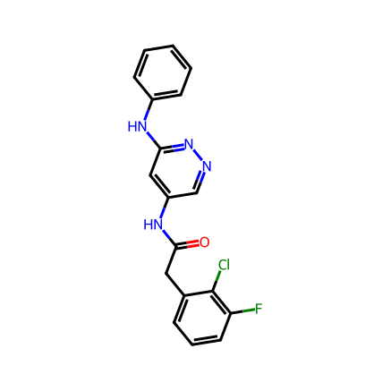 O=C(Cc1cccc(F)c1Cl)Nc1cnnc(Nc2ccccc2)c1